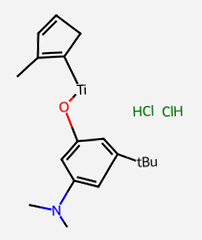 CC1=[C]([Ti][O]c2cc(N(C)C)cc(C(C)(C)C)c2)CC=C1.Cl.Cl